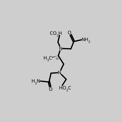 C[C@@H](CN(CC(N)=O)CC(=O)O)N(CC(N)=O)CC(=O)O